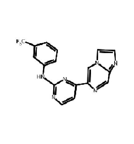 FC(F)(F)c1cccc(Nc2nccc(-c3cn4ccnc4cn3)n2)c1